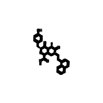 COC(=O)N1O[C@H](Cc2ccc(O)cc2)C(=O)N2C1CN(CCc1cccc3ccccc13)C(=O)[C@@H]2C